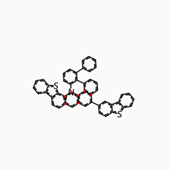 c1ccc(-c2ccccc2-c2c(-c3ccccc3)cccc2N(c2ccc(-c3ccc4sc5ccccc5c4c3)cc2)c2cccc3c2sc2ccccc23)cc1